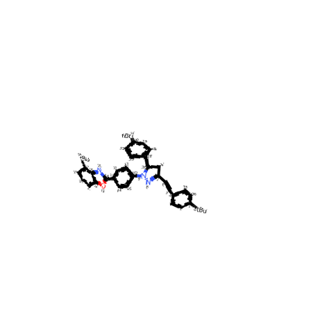 CC(C)(C)c1ccc(C=CC2=NN(c3ccc(-c4nc5c(C(C)(C)C)cccc5o4)cc3)C(c3ccc(C(C)(C)C)cc3)C2)cc1